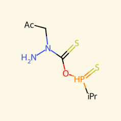 CC(=O)CN(N)C(=S)O[PH](=S)C(C)C